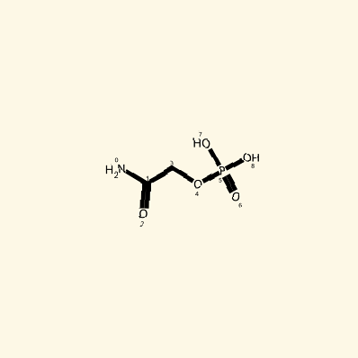 NC(=O)COP(=O)(O)O